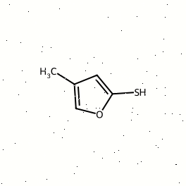 Cc1coc(S)c1